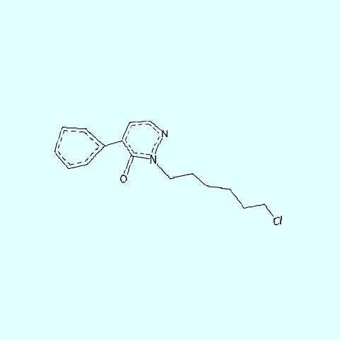 O=c1c(-c2ccccc2)ccnn1CCCCCCCl